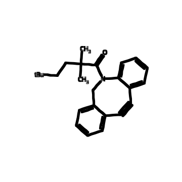 CC(C)(C)CCC(C)(C)C(=O)N1Cc2ccccc2C#Cc2ccccc21